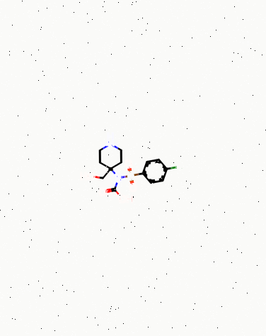 O=C(O)N(C1(CO)CCNCC1)S(=O)(=O)c1ccc(Br)cc1